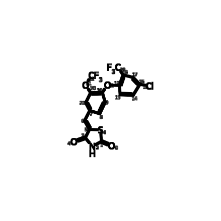 O=C1NC(=O)/C(=C/c2ccc(Oc3ccc(Cl)cc3C(F)(F)F)c(OC(F)(F)F)c2)S1